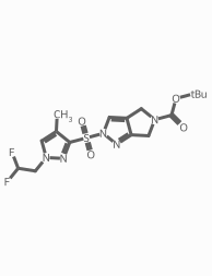 Cc1cn(CC(F)F)nc1S(=O)(=O)n1cc2c(n1)CN(C(=O)OC(C)(C)C)C2